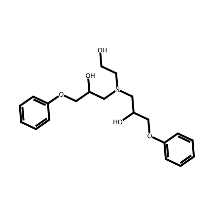 OCCN(CC(O)COc1ccccc1)CC(O)COc1ccccc1